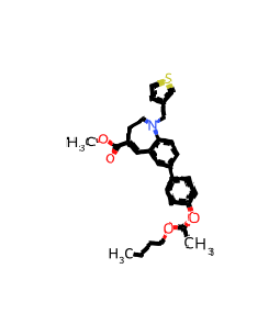 CCCCOC(C)Oc1ccc(-c2ccc3c(c2)C=C(C(=O)OC)CCN3Cc2ccsc2)cc1